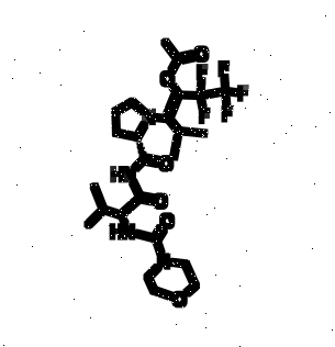 CC(=O)O/C(=C(/C(C)C)N1CCC[C@H]1C(=O)NC(=O)[C@@H](NC(=O)N1CCOCC1)C(C)C)C(F)(F)C(F)(F)F